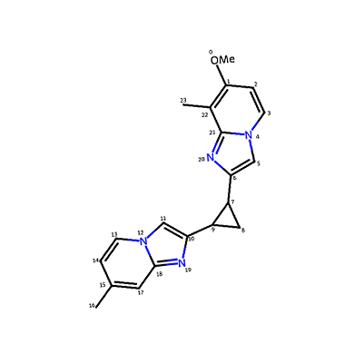 COc1ccn2cc(C3CC3c3cn4ccc(C)cc4n3)nc2c1C